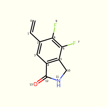 C=Cc1cc2c(c(F)c1F)CNC2=O